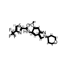 COc1cc2nn(C3CCOCC3)cc2cc1NC(=O)c1nc(C(F)(F)F)cs1